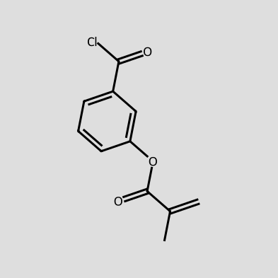 C=C(C)C(=O)Oc1cccc(C(=O)Cl)c1